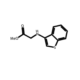 COC(=O)CNc1csc2ccccc12